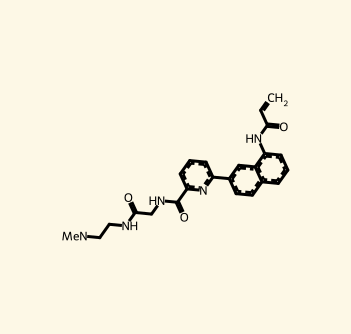 C=CC(=O)Nc1cccc2ccc(-c3cccc(C(=O)NCC(=O)NCCNC)n3)cc12